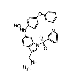 CNCc1cn(S(=O)(=O)c2cccnc2)c2cc(Nc3ccc(Oc4ccccc4)cc3)ccc12.Cl